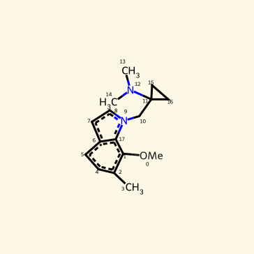 COc1c(C)ccc2ccn(CC3(N(C)C)CC3)c12